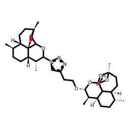 C[C@H]1[C@H](OCCc2cn(C3O[C@@H]4O[C@]5(C)CC[C@H]6[C@H](C)CC[C@@H]([C@H]3C)[C@@]46OO5)nn2)O[C@@H]2O[C@]3(C)CC[C@H]4[C@H](C)CC[C@@H]1[C@@]24OO3